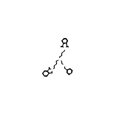 O=C1c2ccccc2C(=O)N1CCCCN(CCCCN1C(=O)c2ccccc2C1=O)CCOCc1ccccc1